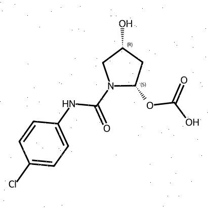 O=C(O)O[C@H]1C[C@@H](O)CN1C(=O)Nc1ccc(Cl)cc1